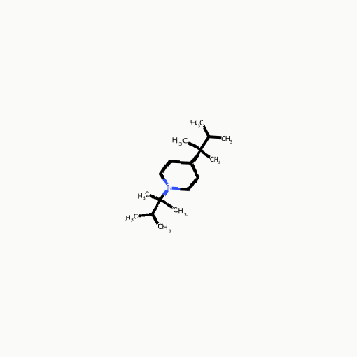 CC(C)C(C)(C)C1CCN(C(C)(C)C(C)C)CC1